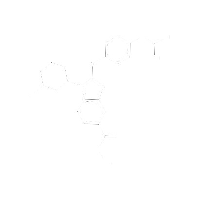 COC(=O)c1ccc2c(c1)nc(Nc1ccc(OC(C)C)cc1)n2C1CCCC(C)C1